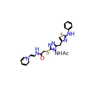 CC(=O)Nn1c(Cc2csc(Nc3ccccc3)n2)nnc1SCC(=O)NC=CN1C=CC=CC1